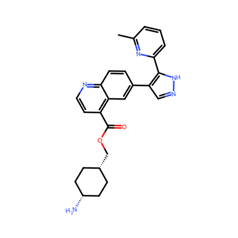 Cc1cccc(-c2[nH]ncc2-c2ccc3nccc(C(=O)OC[C@H]4CC[C@@H](N)CC4)c3c2)n1